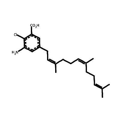 CC(C)=CCCC(C)=CCCC(C)=CCc1cc(N)c(Cl)c(C(=O)O)c1